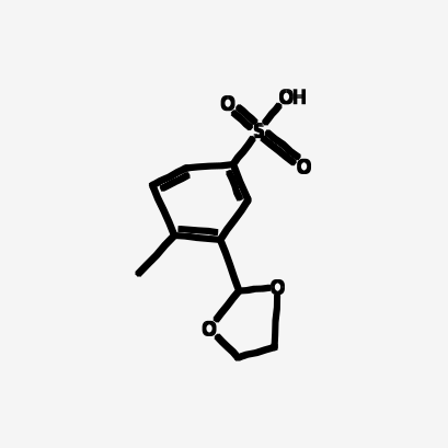 Cc1ccc(S(=O)(=O)O)cc1C1OCCO1